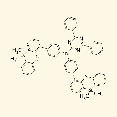 CC1(C)c2ccccc2Oc2c(-c3ccc(N(c4ccc(-c5cccc6c5Sc5ccccc5[Si]6(C)C)cc4)c4nc(-c5ccccc5)nc(-c5ccccc5)n4)cc3)cccc21